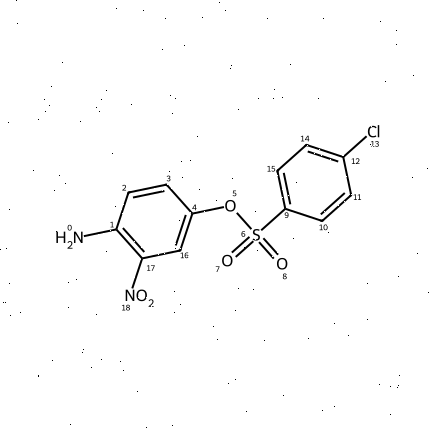 Nc1ccc(OS(=O)(=O)c2ccc(Cl)cc2)cc1[N+](=O)[O-]